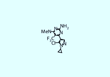 CNc1nc(N)nc(-c2cnn(C3CC3)c2Cl)c1C(F)(F)F